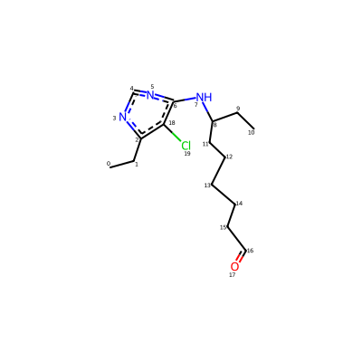 CCc1ncnc(NC(CC)CCCCCC=O)c1Cl